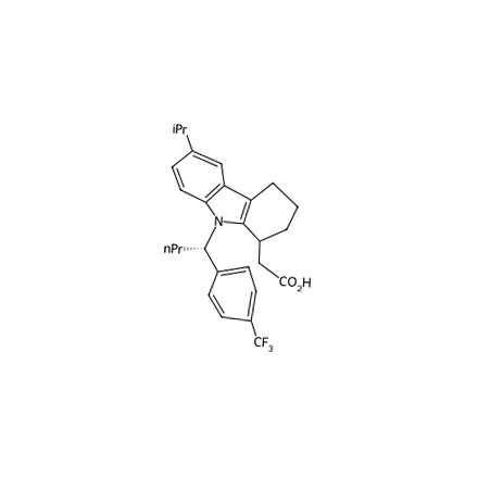 CCC[C@@H](c1ccc(C(F)(F)F)cc1)n1c2c(c3cc(C(C)C)ccc31)CCCC2CC(=O)O